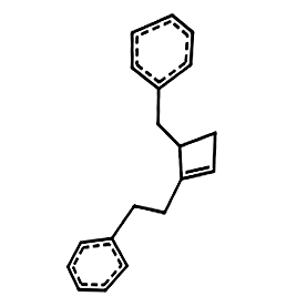 C1=C(CCc2ccccc2)C(Cc2ccccc2)C1